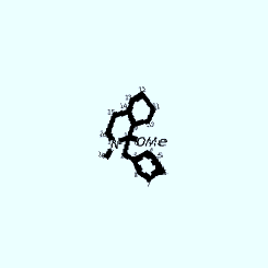 COC1(Cc2ccccc2)C2CCCCC2CCN1C